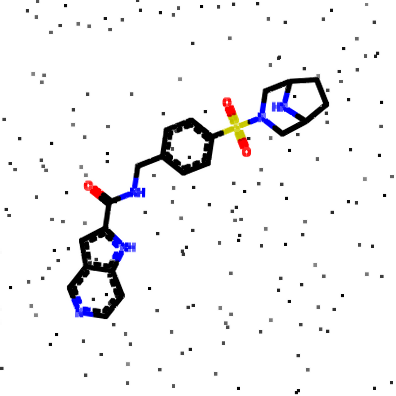 O=C(NCc1ccc(S(=O)(=O)N2CC3CCC(C2)N3)cc1)c1cc2cnccc2[nH]1